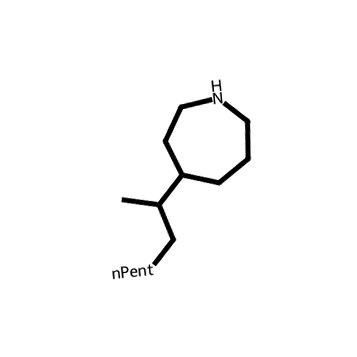 CCCCCCC(C)C1CCCNCC1